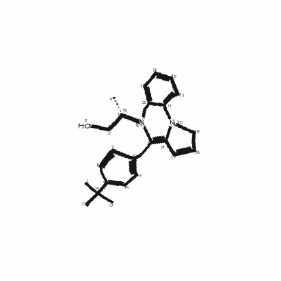 C[C@@H](CO)N1C(c2ccc(C(C)(C)C)cc2)=C2C=CCN2c2ccccc21